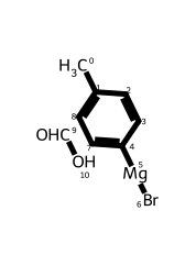 Cc1cc[c]([Mg][Br])cc1.O=CO